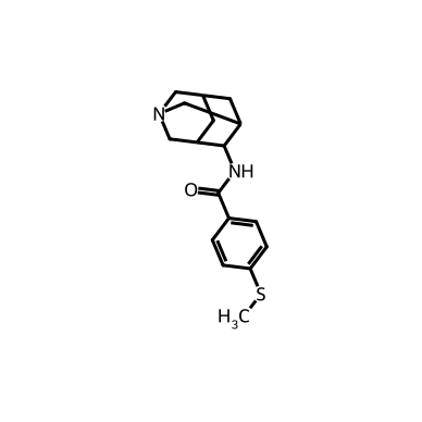 CSc1ccc(C(=O)NC2C3CC4CC2CN(C4)C3)cc1